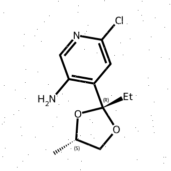 CC[C@@]1(c2cc(Cl)ncc2N)OC[C@H](C)O1